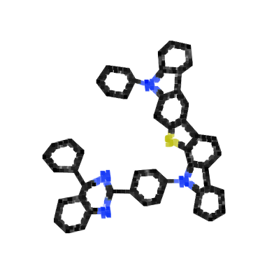 c1ccc(-c2nc(-c3ccc(-n4c5ccccc5c5ccc6c7cc8c9ccccc9n(-c9ccccc9)c8cc7sc6c54)cc3)nc3ccccc23)cc1